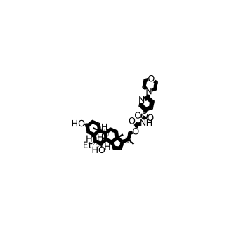 CC[C@H]1[C@@H](O)[C@@H]2[C@H](CC[C@]3(C)C([C@H](C)COC(=O)NS(=O)(=O)c4ccc(N5CCOCC5)nc4)CC[C@@H]23)[C@@]2(C)CC[C@@H](O)C[C@@H]12